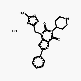 Cc1nc(Cn2c(=O)n(C3CCNCC3)c(=O)c3sc(-c4ccccc4)cc32)no1.Cl